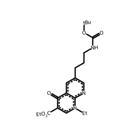 CCOC(=O)c1cn(CC)c2ncc(CCCNC(=O)OC(C)(C)C)cc2c1=O